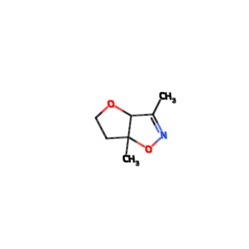 CC1=NOC2(C)CCOC12